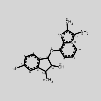 Cc1nc2c(OC3c4ccc(F)cc4C(C)C3O)cccn2c1N